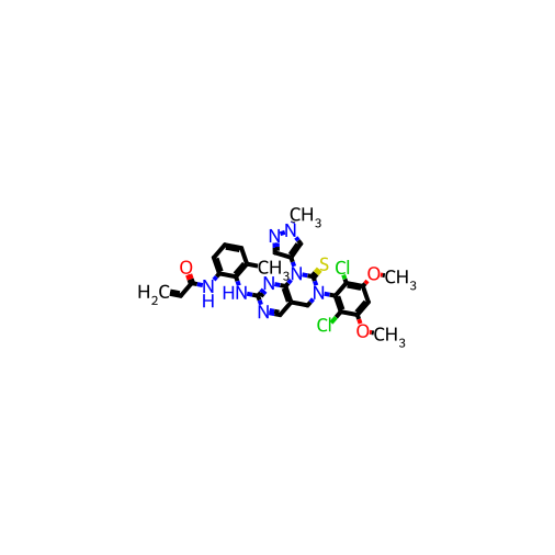 C=CC(=O)Nc1cccc(C)c1Nc1ncc2c(n1)N(c1cnn(C)c1)C(=S)N(c1c(Cl)c(OC)cc(OC)c1Cl)C2